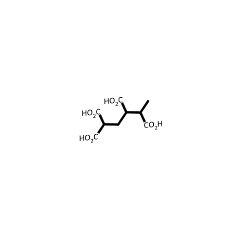 CC(C(=O)O)C(CC(C(=O)O)C(=O)O)C(=O)O